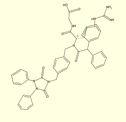 N=C(N)NCCC[C@@H](C(=O)NCC(=O)O)N(Cc1ccc(Cn2c(=O)n(-c3ccccc3)n(-c3ccccc3)c2=O)cc1)C(=O)C(c1ccccc1)c1ccccc1